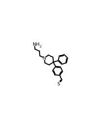 NCCCN1CCC(c2ccccc2)(c2ccc(C=S)cc2)CC1